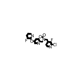 O=C1Oc2cc(Oc3ncccc3F)cnc2CN1Cc1ccnc(Cl)c1F